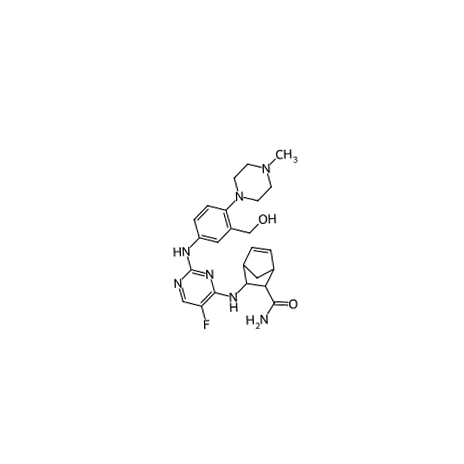 CN1CCN(c2ccc(Nc3ncc(F)c(NC4C5C=CC(C5)C4C(N)=O)n3)cc2CO)CC1